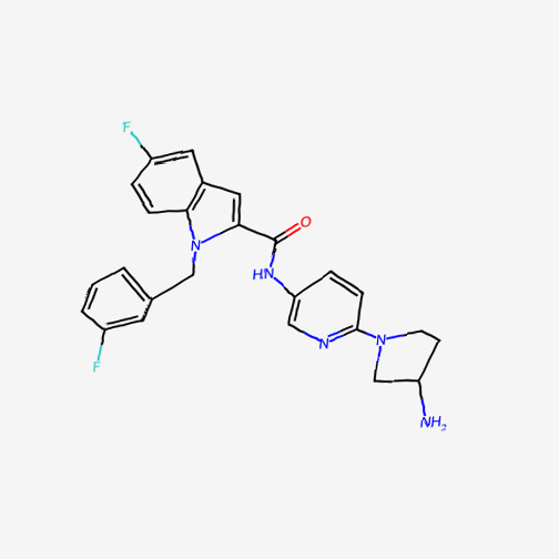 NC1CCN(c2ccc(NC(=O)c3cc4cc(F)ccc4n3Cc3cccc(F)c3)cn2)C1